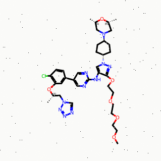 COCCOCCOCCOc1nn([C@H]2CC[C@H](N3C[C@@H](C)O[C@@H](C)C3)CC2)cc1Nc1ncc(-c2ccc(Cl)c(O[C@@H](C)Cn3cnnn3)c2)cn1